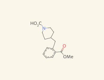 COC(=O)c1ccccc1CC1CCN(C(=O)O)CC1